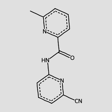 Cc1cccc(C(=O)Nc2cccc(C#N)n2)n1